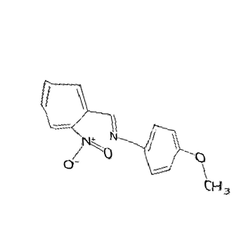 COc1ccc(N=Cc2ccccc2[N+](=O)[O-])cc1